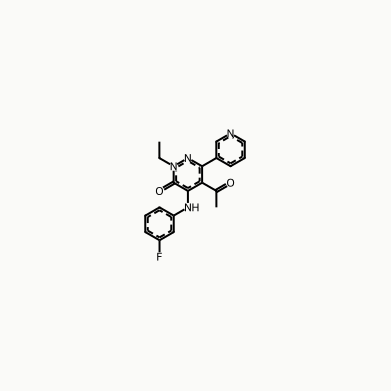 CCn1nc(-c2cccnc2)c(C(C)=O)c(Nc2cccc(F)c2)c1=O